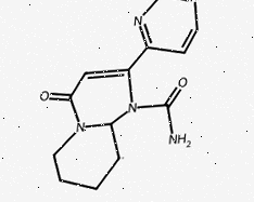 NC(=O)N1C(c2ccncn2)=CC(=O)N2CCC[CH]C21